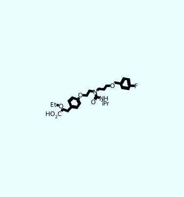 CCOC(Cc1ccc(OCCN(CCCOCc2ccc(F)cc2)C(=O)NC(C)C)cc1)C(=O)O